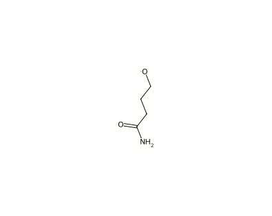 NC(=O)CCC[O]